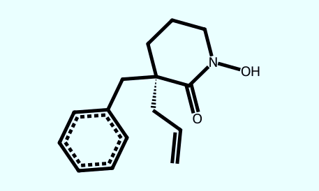 C=CC[C@]1(Cc2ccccc2)CCCN(O)C1=O